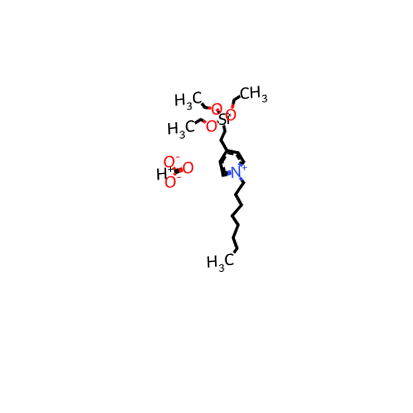 CCCCCCCC[n+]1ccc(CC[Si](OCC)(OCC)OCC)cc1.O=C([O-])[O-].[H+]